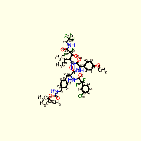 COc1ccc(C(NC(=O)C(Cc2ccc(CNC(=O)OC(C)(C)C)cc2)NC(=O)C(F)(F)c2cccc(Cl)c2)C(=O)NC(C(=O)C(F)(F)C(=O)NCC(F)(F)F)C(C)C)cc1